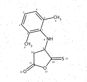 Cc1cccc(C)c1NC1CC(=O)OC1=S